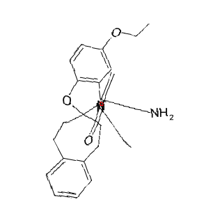 CCOc1ccc2c(c1)C1(N=C(N)N(C)C1=O)C1(CCc3ccccc3CC1)O2